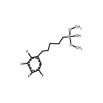 CO[Si](O)(CCCCCc1cc(F)c(F)c(F)c1F)OC